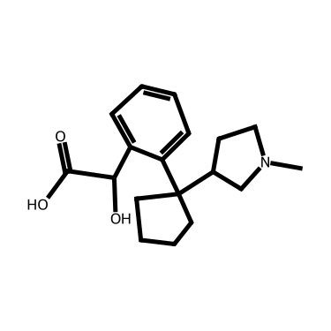 CN1CCC(C2(c3ccccc3C(O)C(=O)O)CCCC2)C1